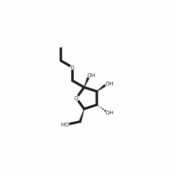 CCOC[C@@]1(O)O[C@H](CO)[C@@H](O)[C@@H]1O